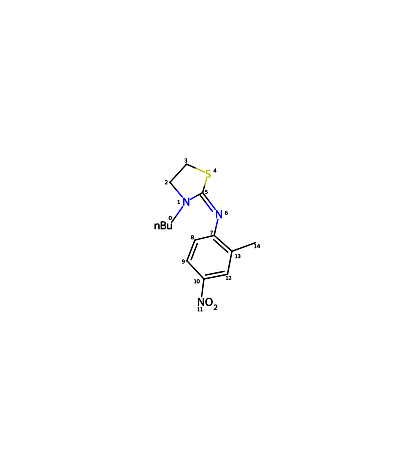 CCCCN1CCSC1=Nc1ccc([N+](=O)[O-])cc1C